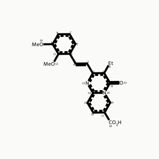 CCc1c(C=Cc2cccc(OC)c2OC)nc2ccc(C(=O)O)cn2c1=O